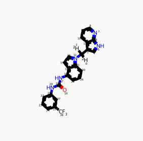 [2H]C([2H])(c1c[nH]c2ncccc12)n1ccc2c(NC(=O)Nc3cccc(C(F)(F)F)c3)cccc21